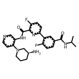 CC(C)NC(=O)c1ccc(F)c(-c2ccc(F)c(C(=O)Nc3cnccc3N3CCC[C@H](N)C3)n2)c1